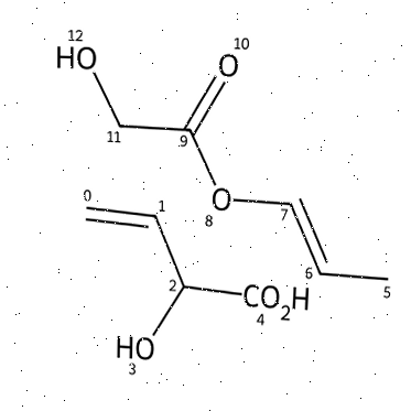 C=CC(O)C(=O)O.CC=COC(=O)CO